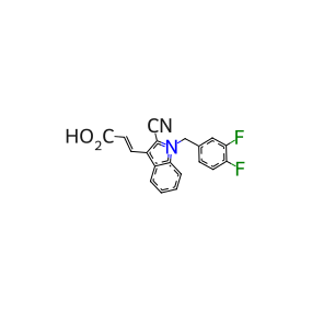 N#Cc1c(C=CC(=O)O)c2ccccc2n1Cc1ccc(F)c(F)c1